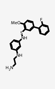 COc1ccc(-c2ccccc2F)cc1SNc1cccc(NCCN)c1